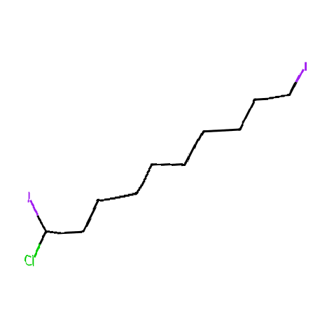 ClC(I)CCCCCCCCCI